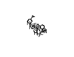 CCc1ccc2cnn(C)c2c1NS(=O)(=O)c1cnn(-c2cc(C3CC3)ccn2)c1